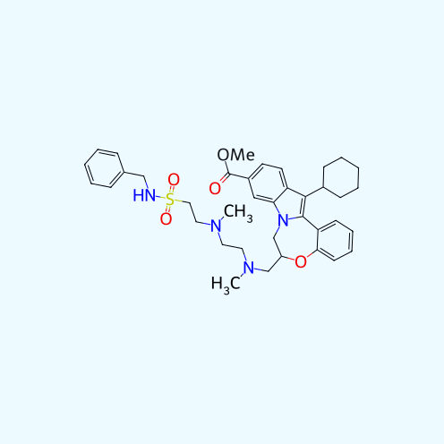 COC(=O)c1ccc2c(C3CCCCC3)c3n(c2c1)CC(CN(C)CCN(C)CCS(=O)(=O)NCc1ccccc1)Oc1ccccc1-3